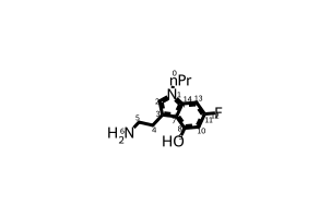 CCCn1cc(CCN)c2c(O)cc(F)cc21